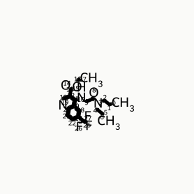 CCCN(CCC)C(=O)CNc1c(C(=O)OCC)cnc2ccc(C(F)(F)F)cc12